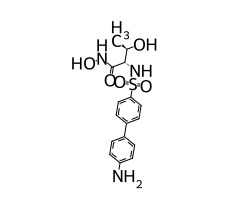 C[C@@H](O)[C@H](NS(=O)(=O)c1ccc(-c2ccc(N)cc2)cc1)C(=O)NO